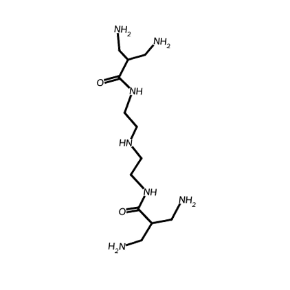 NCC(CN)C(=O)NCCNCCNC(=O)C(CN)CN